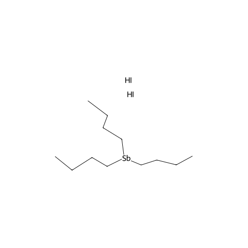 CCC[CH2][Sb]([CH2]CCC)[CH2]CCC.I.I